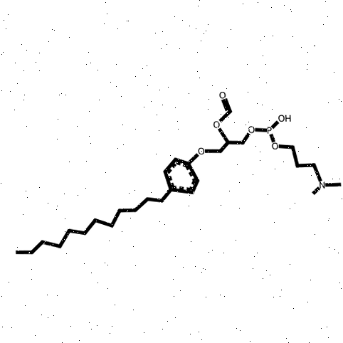 CCCCCCCCCCCCc1ccc(OCC(COP(O)OCCCN(C)C)OC=O)cc1